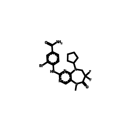 CCc1cc(C(N)=O)ccc1Nc1ncc2c(n1)N(C1CCCC1)CC(F)(F)C(=O)N2C